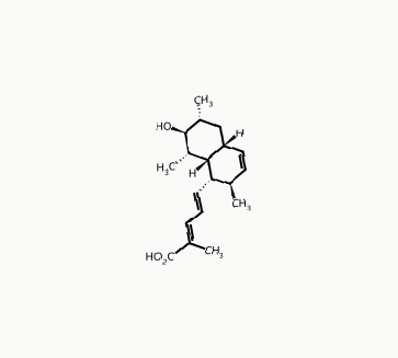 C/C(=C\C=C\[C@@H]1[C@@H]2[C@H](C)[C@@H](O)[C@H](C)C[C@@H]2C=C[C@H]1C)C(=O)O